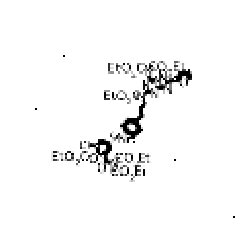 CCOC(=O)Oc1c(Cl)cc(SNc2ccc(CCCN(C(=O)OCC)c3nc(N(C(=O)OCC)C(=O)OCC)n4nc(-c5ccco5)nc4n3)cc2)cc1C(=O)N(C(=O)OCC)C(=O)OCC